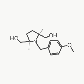 COc1ccc(CN2[C@@](C)(CO)CC[C@@]2(C)CO)cc1